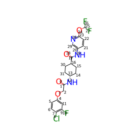 O=C(COc1ccc(Cl)c(F)c1)N[C@H]1CC[C@H](C(=O)Nc2ccc(OC(F)F)nc2)CC1